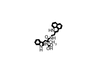 CC(Cc1c[nH]c2ccccc12)(NC(=O)O)C(=O)NCCC1=Cc2cccc3cccc(c23)N1